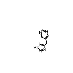 c1ncc(Cc2nn[nH]n2)cn1